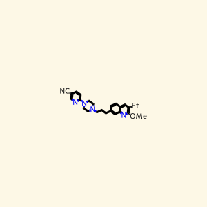 CCc1cc2ccc(CCCN3CCN(c4ccc(C#N)cn4)CC3)cc2nc1OC